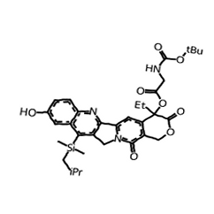 CCC1(OC(=O)CNC(=O)OC(C)(C)C)C(=O)OCc2c1cc1n(c2=O)Cc2c-1nc1ccc(O)cc1c2[Si](C)(C)CC(C)C